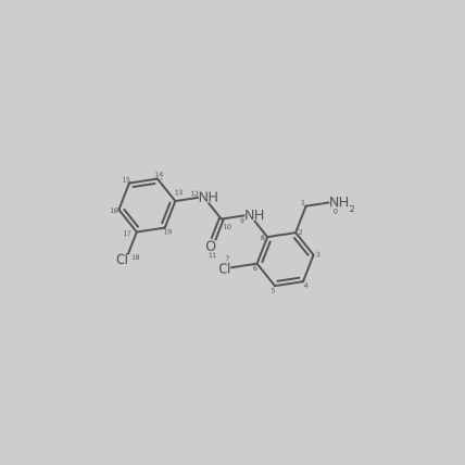 NCc1cccc(Cl)c1NC(=O)Nc1[c]ccc(Cl)c1